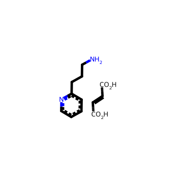 NCCCc1ccccn1.O=C(O)C=CC(=O)O